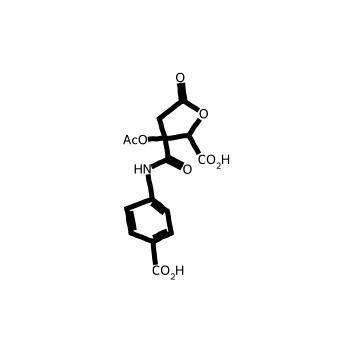 CC(=O)OC1(C(=O)Nc2ccc(C(=O)O)cc2)CC(=O)OC1C(=O)O